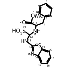 COC(=O)C(Cc1ccccc1)NC(Nc1nc2ccccc2s1)S(=O)(=O)O